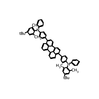 Cc1cc(C(C)(C)C)cc(C)c1N(c1ccccc1)c1ccc(-c2ccc3c4ccc(-c5ccc(N(c6ccccc6)c6c(C)cc(C(C)(C)C)cc6C)cc5)c5cccc(c6cccc2c63)c54)cc1